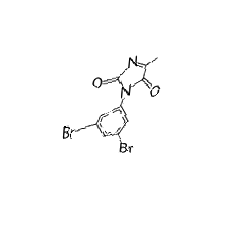 CC1=NC(=O)N(c2cc(Br)cc(Br)c2)C1=O